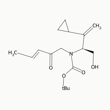 C=C(C1CC1)[C@@H](CO)N(CC(=O)C=CC)C(=O)OC(C)(C)C